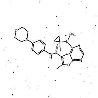 Cc1oc2ncnc(N(N)C3(C)CC3)c2c1C(=O)Nc1ccc(N2CCOCC2)nc1